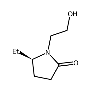 CC[C@@H]1CCC(=O)N1CCO